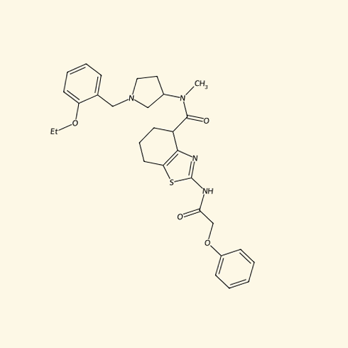 CCOc1ccccc1CN1CCC(N(C)C(=O)C2CCCc3sc(NC(=O)COc4ccccc4)nc32)C1